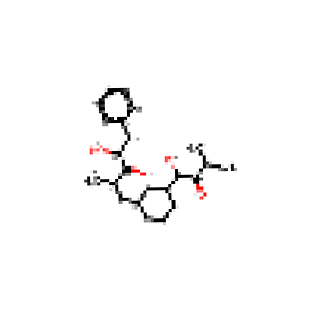 CC(C)C(=O)C(O)C1CCCC(CC(C)C(=O)C(O)Cc2ccccc2)C1